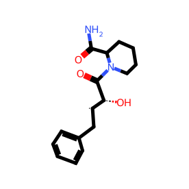 NC(=O)C1CCCCN1C(=O)[C@H](O)[CH]Cc1ccccc1